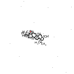 C=C(C)[C@@H]1CC[C@]2(CO)CC[C@]3(C)C(CC[C@@H]4[C@@]5(C)CC[C@](C)(O)C(C)(C)[C@@H]5CC[C@]43C)[C@@H]12